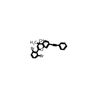 CC1(C)C=C(c2c(Br)cccc2Br)Oc2cc(C#Cc3ccccc3)ccc21